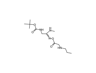 CCCNCC(=O)O/N=C(/CNC(=O)OC(C)(C)C)NC